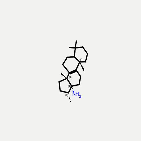 C[C@@H]1CC[C@]2(C)C3=C(CC[C@@]12N)[C@@]1(C)CCCC(C)(C)C1CC3